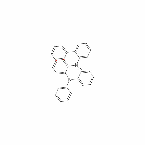 CN(c1ccccc1-c1ccccc1)c1ccccc1N(c1ccccc1)c1ccccc1